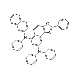 c1ccc(-c2nc3c(ccc4c(N(c5ccccc5)c5ccc6ccccc6c5)cc(N(c5ccccc5)c5ccccc5)cc43)o2)cc1